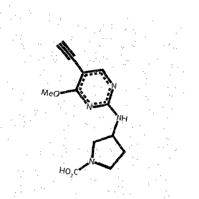 C#Cc1cnc(NC2CCN(C(=O)O)C2)nc1OC